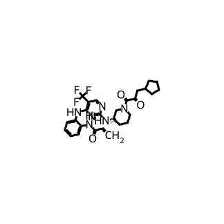 C=CC(=O)Nc1ccccc1Nc1nc(N[C@H]2CCCN(C(=O)C(=O)CC3CCCC3)C2)ncc1C(F)(F)F